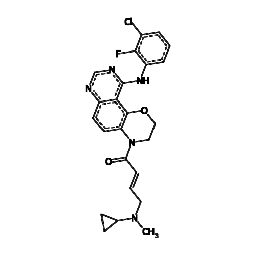 CN(C/C=C/C(=O)N1CCOc2c1ccc1ncnc(Nc3cccc(Cl)c3F)c21)C1CC1